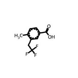 Cc1ccc(C(=O)O)cc1CC(F)(F)F